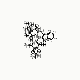 [2H]c1c([2H])c(C2c3[nH]c4ccccc4c3C[C@]3([2H])C(=O)N(C([2H])([2H])[2H])C([2H])([2H])C(=O)N23)c([2H])c2c1OC([2H])([2H])O2